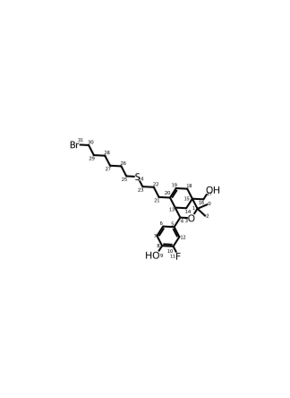 CC1(C)OC(c2ccc(O)c(F)c2)C2CC1(CO)CC=C2CCCSCCCCCCBr